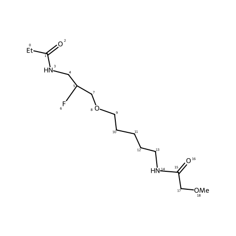 CCC(=O)NCC(F)COCCCCCNC(=O)COC